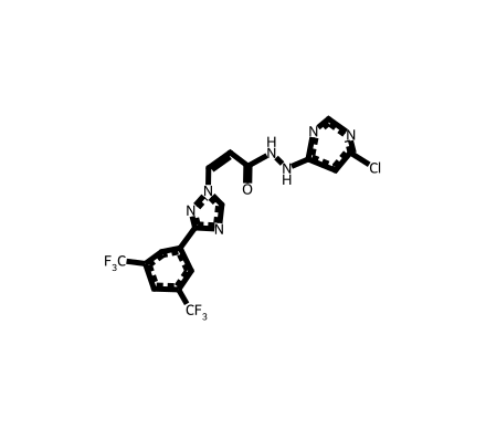 O=C(/C=C\n1cnc(-c2cc(C(F)(F)F)cc(C(F)(F)F)c2)n1)NNc1cc(Cl)ncn1